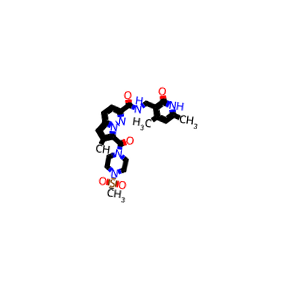 Cc1cc(C)c(CNC(=O)c2ccc3cc(C)c(C(=O)N4CCN(S(C)(=O)=O)CC4)n3n2)c(=O)[nH]1